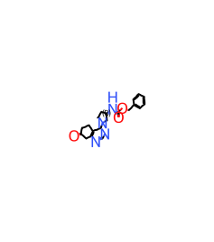 O=C1CCc2c(ncnc2N2CC[C@@H](NC(=O)OCc3ccccc3)C2)C1